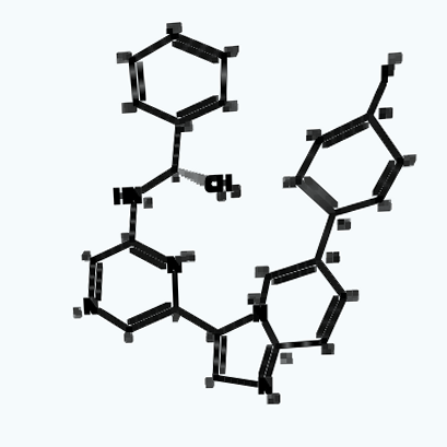 C[C@H](Nc1cncc(-c2cnc3ccc(-c4ccc(F)cc4)cn23)n1)c1ccccc1